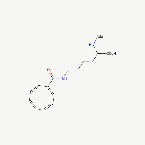 CC(C)(C)NC(CCCCNC(=O)C1=C/C=C\C=C/C=C\1)C(=O)O